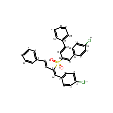 O=S(=O)(C(C=Cc1ccccc1)=Cc1ccc(Cl)cc1)C(C=Cc1ccccc1)=Cc1ccc(Cl)cc1